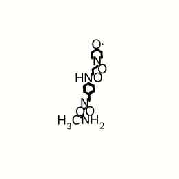 CC(N)OC(=O)/N=C/c1ccc(NC(=O)CC(=O)N2CCC([O])CC2)cc1